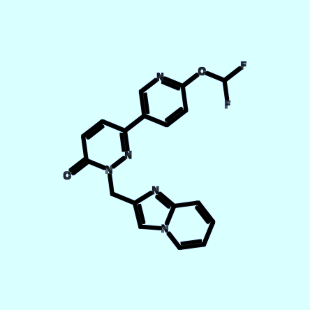 O=c1ccc(-c2ccc(OC(F)F)nc2)nn1Cc1cn2ccccc2n1